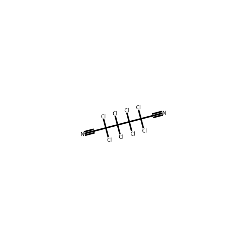 N#CC(Cl)(Cl)C(Cl)(Cl)C(Cl)(Cl)C(Cl)(Cl)C#N